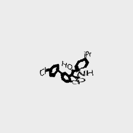 CC(C)[C@H]1CC[C@@]2(CC1)NC(=O)C(c1cc(-c3ccc(Cl)cc3)ccc1Cl)=C2O